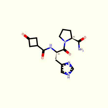 NC(=O)[C@@H]1CCCN1C(=O)[C@H](Cc1c[nH]cn1)NC(=O)C1CC(=O)C1